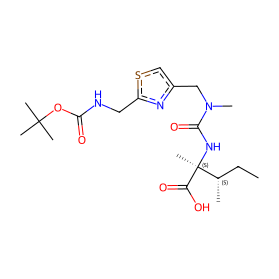 CC[C@H](C)[C@](C)(NC(=O)N(C)Cc1csc(CNC(=O)OC(C)(C)C)n1)C(=O)O